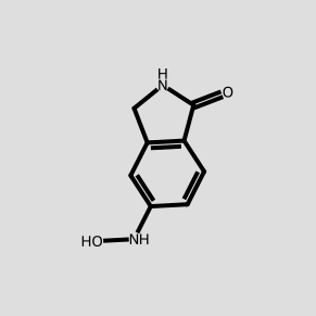 O=C1NCc2cc(NO)ccc21